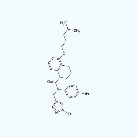 CCn1cc(CN(C(=O)C2CCCc3c(OCCCN(C)C)cccc32)c2ccc(C(C)C)cc2)cn1